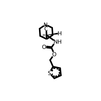 O=C(N[C@H]1CN2CCC1CC2)OCc1cccs1